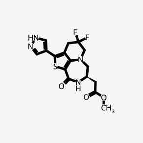 COC(=O)C[C@@H]1CN2CC(F)(F)Cc3c(-c4cn[nH]c4)sc(c32)C(=O)N1